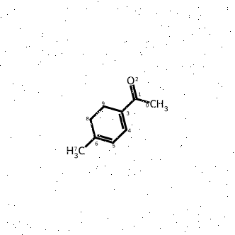 CC(=O)C1=CC=C(C)CC1